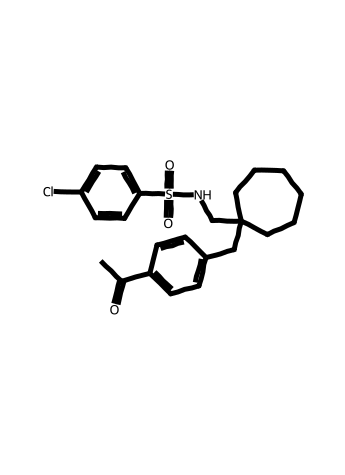 CC(=O)c1ccc(CC2(CNS(=O)(=O)c3ccc(Cl)cc3)CCCCCC2)cc1